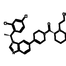 C[C@H](c1ccc(Cl)cc1Cl)n1cnc2ccc(C3=CCN(C(=O)[C@H]4CCCCN4CCO)CC3)cc21